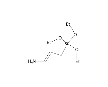 CCO[Si](CC=CN)(OCC)OCC